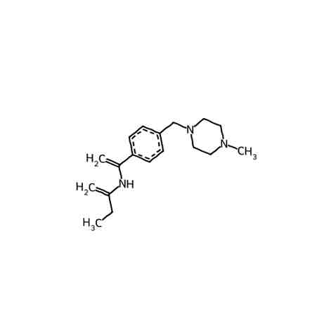 C=C(CC)NC(=C)c1ccc(CN2CCN(C)CC2)cc1